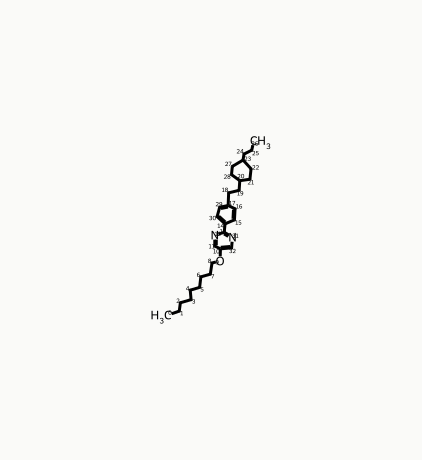 CCCCCCCCCOc1cnc(-c2ccc(CCC3CCC(CCC)CC3)cc2)nc1